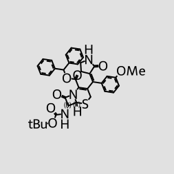 COc1cccc(C(=C2CCNC2=O)C2=C(C(=O)OC(c3ccccc3)c3ccccc3)N3C(=O)[C@@H](NC(=O)OC(C)(C)C)[C@H]3SC2)c1